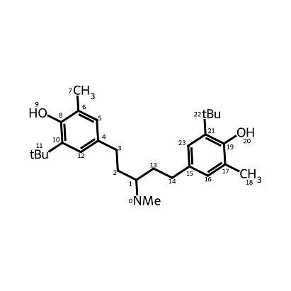 CNC(CCc1cc(C)c(O)c(C(C)(C)C)c1)CCc1cc(C)c(O)c(C(C)(C)C)c1